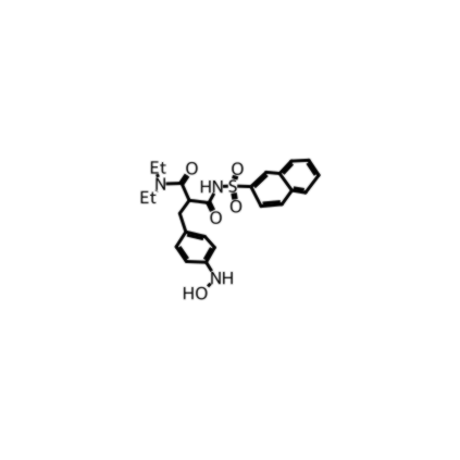 CCN(CC)C(=O)C(Cc1ccc(NO)cc1)C(=O)NS(=O)(=O)c1ccc2ccccc2c1